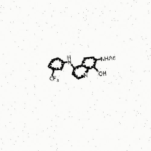 CC(=O)Nc1ccc2c(Nc3cccc(C(F)(F)F)c3)ccnc2c1O